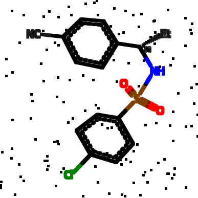 CC[C@H](NS(=O)(=O)c1ccc(Cl)cc1)c1ccc(C#N)cc1